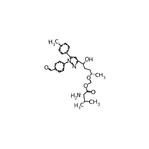 Cc1ccc(-c2cc(C(O)CCC(C)OCOC(=O)[C@@H](N)C(C)C)nn2-c2ccc(C=O)cc2)cc1